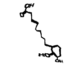 O=C(O)CCCCCCCCc1cccc(O)c1O